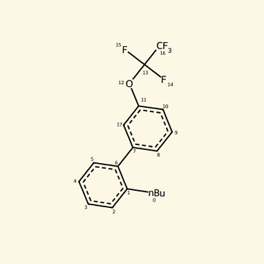 [CH2]CCCc1ccccc1-c1cccc(OC(F)(F)C(F)(F)F)c1